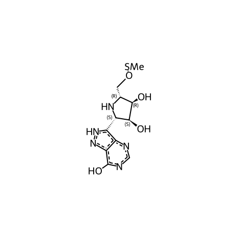 CSOC[C@H]1N[C@@H](c2[nH]nc3c(O)ncnc23)[C@H](O)[C@@H]1O